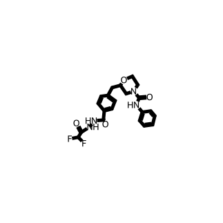 O=C(NNC(=O)C(F)F)c1ccc(CC2CN(C(=O)Nc3ccccc3)CCO2)cc1